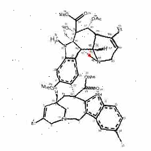 CCC1=C[C@H]2CN(C1)Cc1c([nH]c3ccc(I)cc13)[C@@](C(=O)OC)(c1cc3c(cc1OC)N(C)[C@H]1[C@@](O)(C(=O)OC)[C@H](OC(C)=O)C4C(CC)=CCN5CC[C@]31[C@H]45)C2